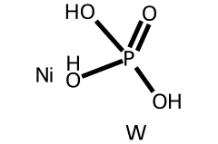 O=P(O)(O)O.[Ni].[W]